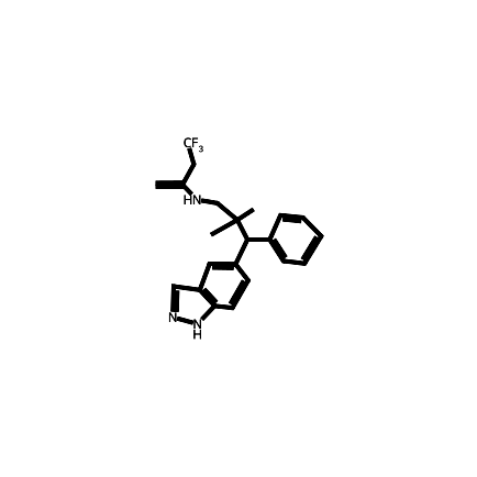 C=C(CC(F)(F)F)NCC(C)(C)C(c1ccccc1)c1ccc2[nH]ncc2c1